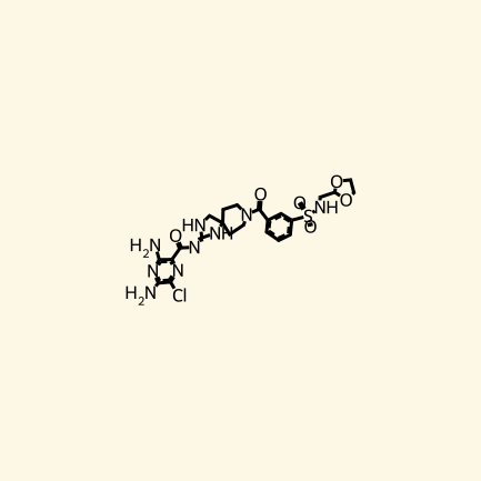 Nc1nc(N)c(C(=O)/N=C2\NCC3(CCN(C(=O)c4cccc(S(=O)(=O)NCC5OCCO5)c4)CC3)N2)nc1Cl